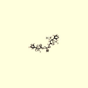 CC(C)(CC(=O)CO[PH](=O)OCC(=O)CC(C)(C)c1ccsc1)c1ccsc1